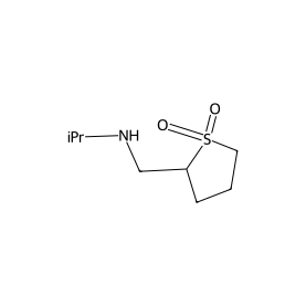 CC(C)NCC1CCCS1(=O)=O